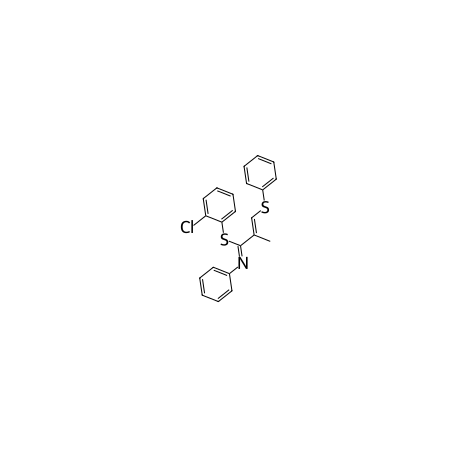 CC(=C\Sc1ccccc1)/C(=N/c1ccccc1)Sc1ccccc1Cl